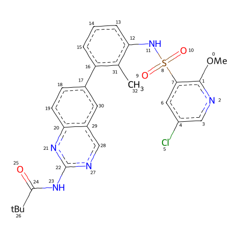 COc1ncc(Cl)cc1S(=O)(=O)Nc1cccc(-c2ccc3nc(NC(=O)C(C)(C)C)ncc3c2)c1C